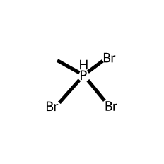 C[PH](Br)(Br)Br